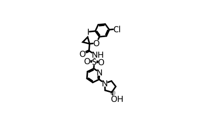 O=C(NS(=O)(=O)c1cccc(N2CC[C@@H](O)C2)n1)C1(Oc2cc(Cl)ccc2I)CC1